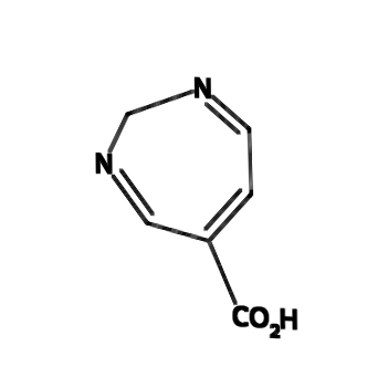 O=C(O)C1=CC=NCN=C1